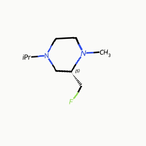 CC(C)N1CCN(C)[C@H](CF)C1